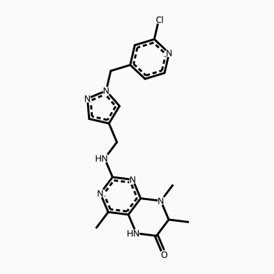 Cc1nc(NCc2cnn(Cc3ccnc(Cl)c3)c2)nc2c1NC(=O)C(C)N2C